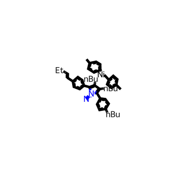 CCC=Cc1ccc(C2=C(CCCC)C(CCCC)=C(c3ccc(CCCC)cc3)[N+]2=[N-])cc1.Cc1cc[c]([Ni][c]2ccc(C)cc2)cc1